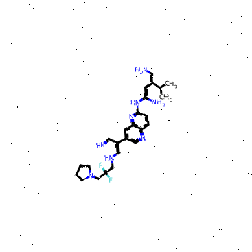 CC(C)C(=C/N)/C=C(\N)Nc1ccc2ncc(/C(C=N)=C/NCC(F)(F)CN3CCCC3)cc2n1